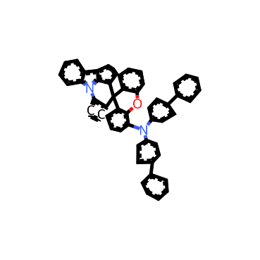 c1ccc(-c2ccc(N(c3ccc(-c4ccccc4)cc3)c3cccc4c3Oc3ccccc3C43c4ccccc4-n4c5ccccc5c5cccc3c54)cc2)cc1